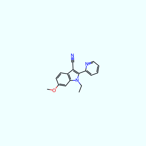 CCn1c(-c2ccccn2)c(C#N)c2ccc(OC)cc21